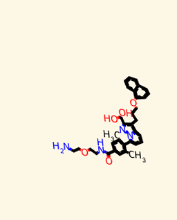 Cc1cc(C(=O)NCCOCCN)cc(C)c1-c1cccc2c(CCCOc3cccc4ccccc34)c(C(O)O)nn12